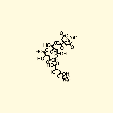 O=C(O)CC(O)C(=O)O.O=C(O)CC(O)C(=O)O.O=C(O)CC(O)C(=O)O.O=C([O-])CC(O)(CC(=O)[O-])C(=O)[O-].[Na+].[Na+].[Na+]